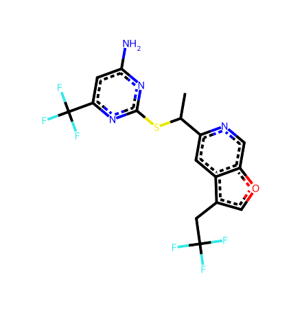 CC(Sc1nc(N)cc(C(F)(F)F)n1)c1cc2c(CC(F)(F)F)coc2cn1